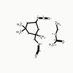 CC1(C)CC(N=C=O)CC(C)(CN=C=O)C1.CCOC(C)=O